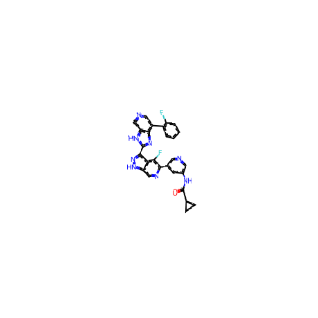 O=C(Nc1cncc(-c2ncc3[nH]nc(-c4nc5c(-c6ccccc6F)cncc5[nH]4)c3c2F)c1)C1CC1